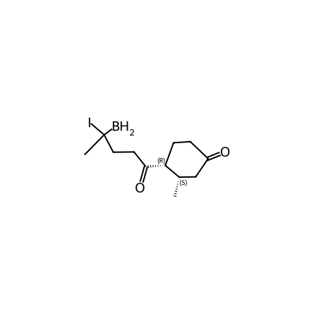 BC(C)(I)CCC(=O)[C@@H]1CCC(=O)C[C@@H]1C